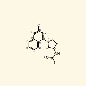 CC(=O)NC1CCN(c2nc(Cl)nc3ccccc23)C1